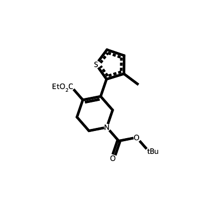 CCOC(=O)C1=C(c2sccc2C)CN(C(=O)OC(C)(C)C)CC1